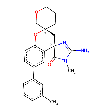 Cc1cccc(-c2ccc3c(c2)[C@]2(C[C@@]4(CCCOC4)O3)N=C(N)N(C)C2=O)c1